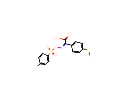 CSc1ccc(C(=NOS(=O)(=O)c2ccc(C)cc2)C(=O)O)cc1